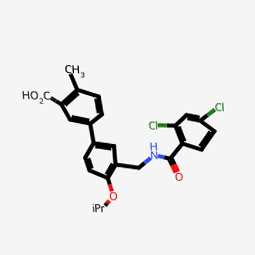 Cc1ccc(-c2ccc(OC(C)C)c(CNC(=O)c3ccc(Cl)cc3Cl)c2)cc1C(=O)O